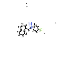 Cc1cc(F)ccc1NCc1cccc2ccccc12